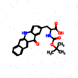 CC(C)(C)OC(=O)NC(Cc1ccc2[nH]c3cc4ccccc4cc3c(=O)c2c1)C(=O)O